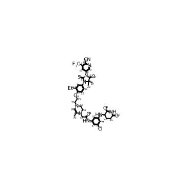 CCc1cc(N2C(=S)N(c3cnc(C#N)c(C(F)(F)F)c3)C(=O)C2(C)C)ccc1OCCN1C=C(C)N(CC(=O)Nc2cc(Cl)cc(NC3CCC(=O)NC3=O)c2)CC1